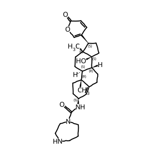 C[C@]12CC[C@H](NC(=O)N3CCCNCC3)C=C1CC[C@@H]1[C@@H]2CC[C@]2(C)[C@@H](c3ccc(=O)oc3)CC[C@]12O